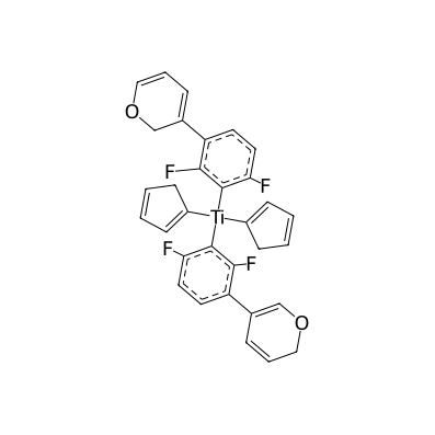 Fc1ccc(C2=COCC=C2)c(F)[c]1[Ti]([C]1=CC=CC1)([C]1=CC=CC1)[c]1c(F)ccc(C2=CC=COC2)c1F